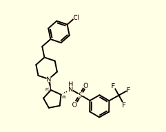 O=S(=O)(N[C@@H]1CCC[C@H]1N1CCC(Cc2ccc(Cl)cc2)CC1)c1cccc(C(F)(F)F)c1